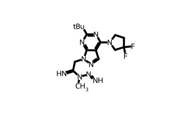 CN(N=N)C(=N)Cn1ncc2c(N3CCC(F)(F)C3)nc(C(C)(C)C)nc21